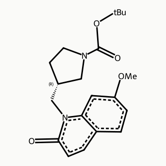 COc1ccc2ccc(=O)n(C[C@@H]3CCN(C(=O)OC(C)(C)C)C3)c2c1